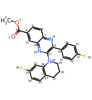 COC(=O)c1ccc2nc(-c3ccc(F)cc3)c(N3CCCc4ccc(F)cc43)nc2c1